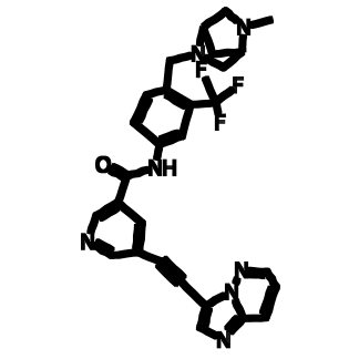 CN1CC2CC1CN2Cc1ccc(NC(=O)c2cncc(C#Cc3cnc4cccnn34)c2)cc1C(F)(F)F